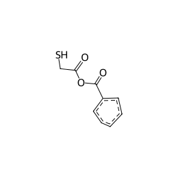 O=C(CS)OC(=O)c1ccccc1